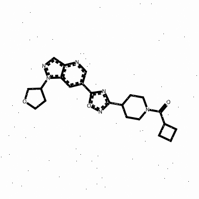 O=C(C1CCC1)N1CCC(c2noc(-c3cnc4cnn(C5CCOC5)c4c3)n2)CC1